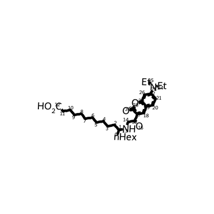 CCCCCCC(CCCCCCCCCCC(=O)O)NCC(=O)c1cc2ccc(N(CC)CC)cc2oc1=O